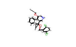 CCOc1cncc(C2(OCc3cc(Cl)ccc3Cl)CC2)c1-c1ccccc1